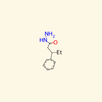 CCC(CC(=O)NN)c1ccccc1